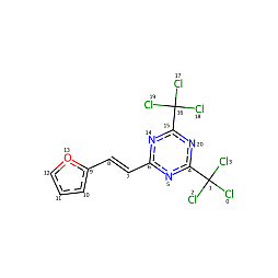 ClC(Cl)(Cl)c1nc(C=Cc2ccco2)nc(C(Cl)(Cl)Cl)n1